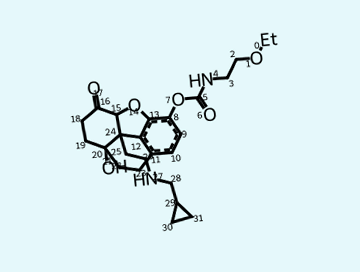 CCOCCNC(=O)Oc1ccc2c3c1OC1C(=O)CC[C@@](O)(CC2)C31CCNCC1CC1